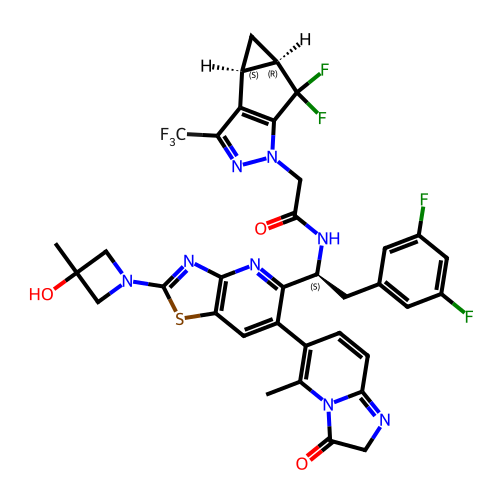 CC1=C(c2cc3sc(N4CC(C)(O)C4)nc3nc2[C@H](Cc2cc(F)cc(F)c2)NC(=O)Cn2nc(C(F)(F)F)c3c2C(F)(F)[C@@H]2C[C@H]32)C=CC2=NCC(=O)N21